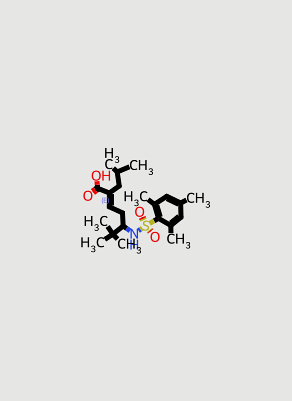 Cc1cc(C)c(S(=O)(=O)NC(C/C=C(\CC(C)C)C(=O)O)C(C)(C)C)c(C)c1